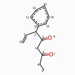 C=CC(C(=O)CC(=O)CC)c1ccccc1